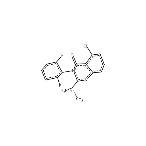 C[C@H](N)c1nc2cccc(Cl)c2c(=O)n1-c1c(F)cccc1F